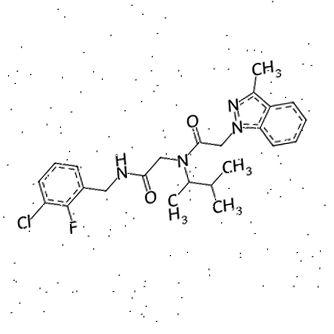 Cc1nn(CC(=O)N(CC(=O)NCc2cccc(Cl)c2F)C(C)C(C)C)c2ccccc12